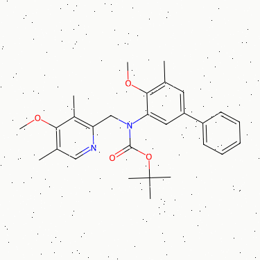 COc1c(C)cc(-c2ccccc2)cc1N(Cc1ncc(C)c(OC)c1C)C(=O)OC(C)(C)C